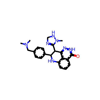 CN(C)Cc1ccc(C2Nc3cccc4c(=O)[nH]nc(c34)C2C2=NCNN2C)cc1